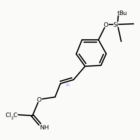 CC(C)(C)[Si](C)(C)Oc1ccc(/C=C/COC(=N)C(Cl)(Cl)Cl)cc1